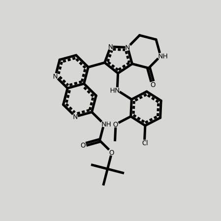 COc1c(Cl)cccc1Nc1c(-c2ccnc3cnc(NC(=O)OC(C)(C)C)cc23)nn2c1C(=O)NCC2